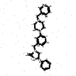 O=C1O[C@H](c2ccccc2)CN1Cc1cccc(N2CCN(Cc3cccnc3)CC2)c1